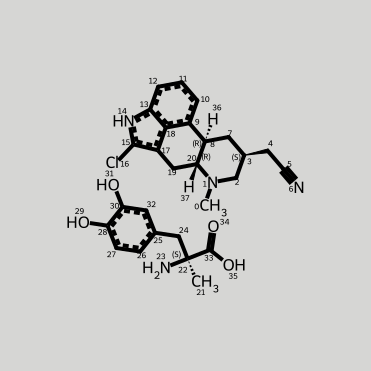 CN1C[C@H](CC#N)C[C@@H]2c3cccc4[nH]c(Cl)c(c34)C[C@H]21.C[C@](N)(Cc1ccc(O)c(O)c1)C(=O)O